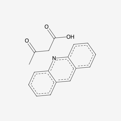 CC(=O)CC(=O)O.c1ccc2nc3ccccc3cc2c1